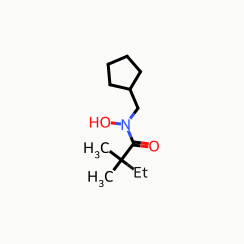 CCC(C)(C)C(=O)N(O)CC1CCCC1